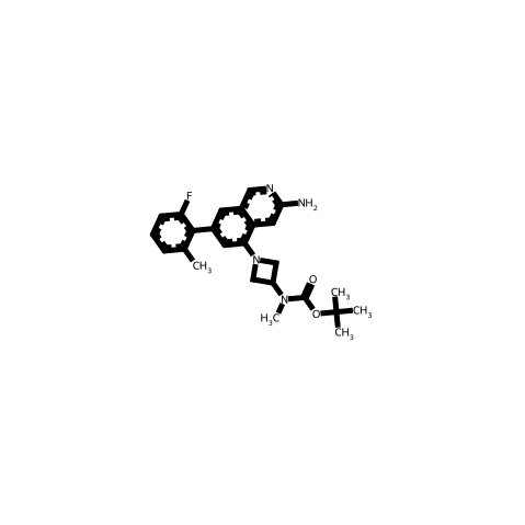 Cc1cccc(F)c1-c1cc(N2CC(N(C)C(=O)OC(C)(C)C)C2)c2cc(N)ncc2c1